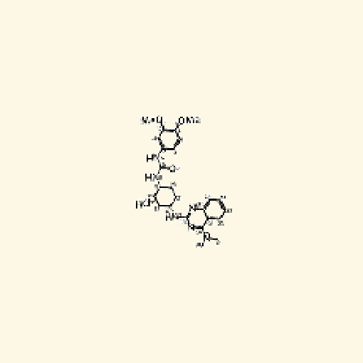 COc1ccc(NC(=O)N[C@H]2CC[C@@H](Nc3nc(N(C)C)c4ccccc4n3)CC2)cc1OC.Cl